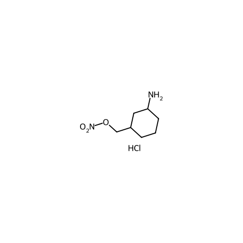 Cl.NC1CCCC(CO[N+](=O)[O-])C1